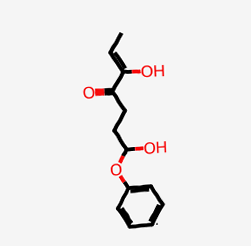 CC=C(O)C(=O)CCC(O)Oc1cc[c]cc1